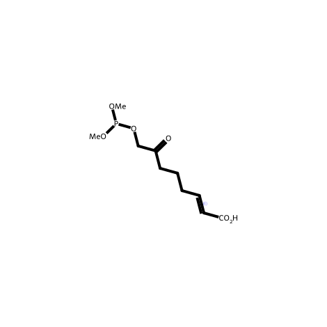 COP(OC)OCC(=O)CCC/C=C/C(=O)O